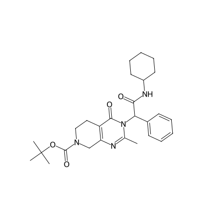 Cc1nc2c(c(=O)n1C(C(=O)NC1CCCCC1)c1ccccc1)CCN(C(=O)OC(C)(C)C)C2